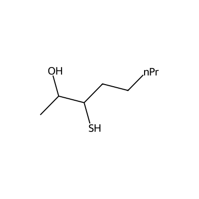 CCCCCC(S)C(C)O